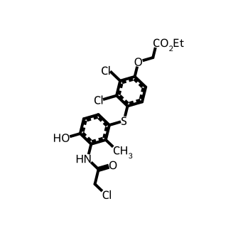 CCOC(=O)COc1ccc(Sc2ccc(O)c(NC(=O)CCl)c2C)c(Cl)c1Cl